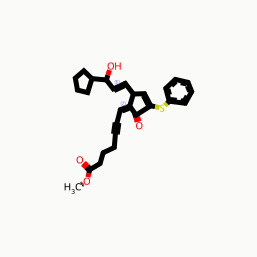 COC(=O)CCCC#C/C=C1\C(=O)C(Sc2ccccc2)=CC1/C=C/C(O)C1CCCC1